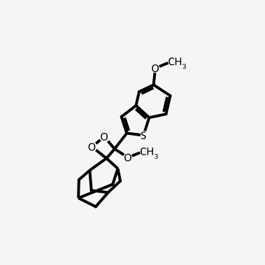 COc1ccc2sc(C3(OC)OOC34C3CC5CC(C3)CC4C5)cc2c1